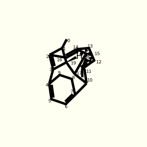 CC1C2=C3C4=CC=C(CC4)/C(=c4/cc/c(s4)=C\2)C(C)[C@H]31